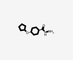 NNC(=O)[C@H]1CC[C@H](OC2CCCC2)CC1